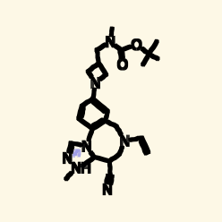 C=CN1Cc2cc(N3CC(CN(C)C(=O)OC(C)(C)C)C3)ccc2N(/C=N\NC)C(C)C(C#N)C1